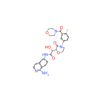 Nc1nccc2cc(NC(=O)C(O)C3OCCN(c4ccc(F)c(C(=O)N5CCOCC5)c4)C3=O)ccc12